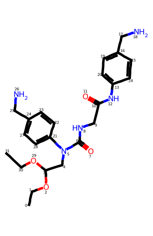 CCOC(CN(C(=O)NCC(=O)Nc1ccc(CN)cc1)c1ccc(CN)cc1)OCC